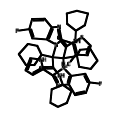 Cc1ccsc1-c1nc2ccc(F)cc2n1C(C(=O)NC1CCCCC1)(C1CCCCC1)C(C(=O)NC1CCCCC1)(C1CCCCC1)n1c(-c2ccc[nH]2)nc2ccc(F)cc21